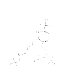 COC(C)(C)C(=O)N[C@@H](CCCNC(=O)OC(C)(C)C)C(=O)COC(C(F)(F)F)C(F)(F)F